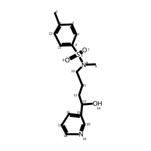 Cc1ccc(S(=O)(=O)N(C)CCCC(O)c2cccnc2)cc1